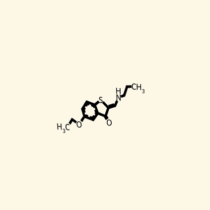 CCCNC=C1Sc2ccc(OCC)cc2C1=O